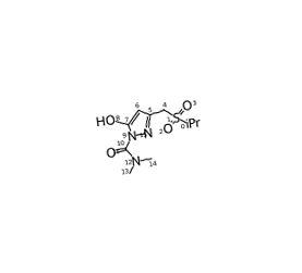 CC(C)S(=O)(=O)Cc1cc(O)n(C(=O)N(C)C)n1